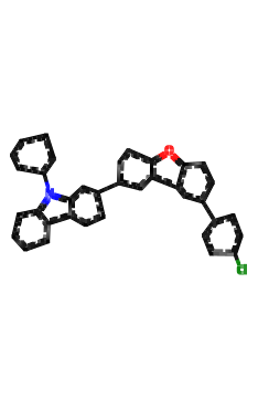 Clc1ccc(-c2ccc3oc4ccc(-c5ccc6c7ccccc7n(-c7ccccc7)c6c5)cc4c3c2)cc1